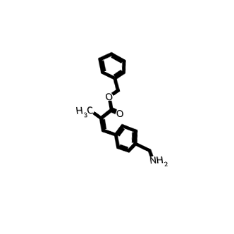 CC(=Cc1ccc(CN)cc1)C(=O)OCc1ccccc1